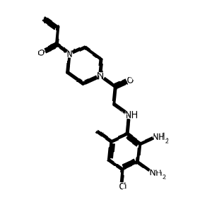 C=CC(=O)N1CCN(C(=O)CNc2c(C)cc(Cl)c(N)c2N)CC1